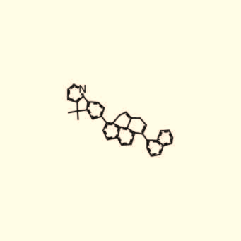 CC1(C)c2cc(-c3ccc4ccc5c6c4c3CC=C6CC=C5c3cccc4ccccc34)ccc2-c2ncccc21